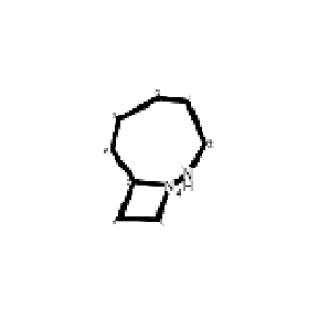 C1CCNN2CCC2CC1